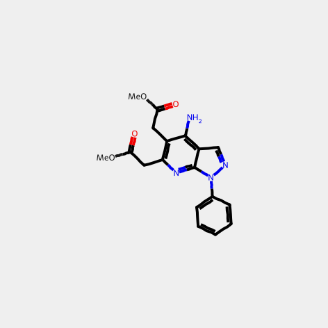 COC(=O)Cc1nc2c(cnn2-c2ccccc2)c(N)c1CC(=O)OC